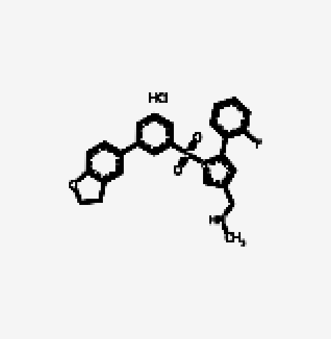 CNCc1cc(-c2ccccc2F)n(S(=O)(=O)c2cccc(-c3ccc4c(c3)CCO4)c2)c1.Cl